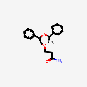 CC(OC(COCCC(N)=O)c1ccccc1)c1ccccc1